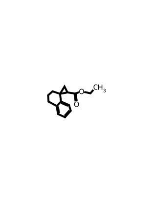 CCOC(=O)C1CC12CCCc1ccccc12